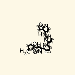 CN1CC[C@@](O)(c2cc(-c3cccc(-c4ccnc(Nc5ccnc6c5CCO6)n4)n3)no2)C1=O